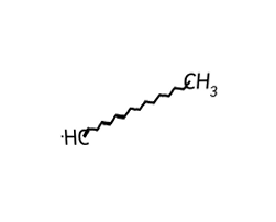 [CH]=CCC=CC=CCCCCCCCCC